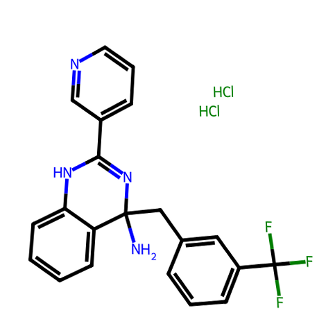 Cl.Cl.NC1(Cc2cccc(C(F)(F)F)c2)N=C(c2cccnc2)Nc2ccccc21